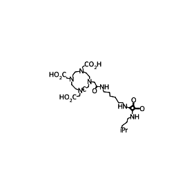 CC(C)CCCNc1c(NCCCCCCNC(=O)CN2CCN(CC(=O)O)CCN(CC(=O)O)CCN(CC(=O)O)CC2)c(=O)c1=O